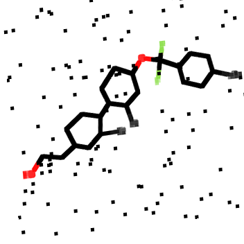 CCCCC1CCC(C(F)(F)OC2CCC(C3CCC(CCO)CC3CC)C(CC)C2)CC1